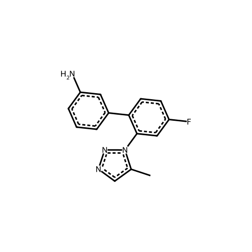 Cc1cnnn1-c1cc(F)ccc1-c1cccc(N)c1